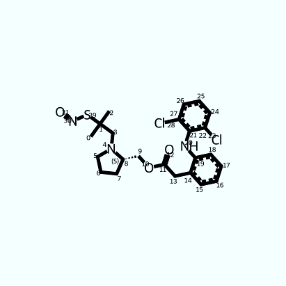 CC(C)(CN1CCC[C@H]1COC(=O)Cc1ccccc1Nc1c(Cl)cccc1Cl)SN=O